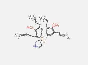 C=CCc1cc(SC2(Sc3cc(CC=C)c(O)c(CC=C)c3)CCNCC2)cc(CC=C)c1O